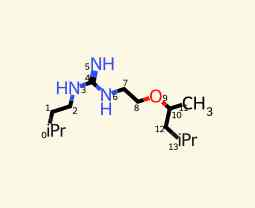 CC(C)CCNC(=N)NCCOC(C)CC(C)C